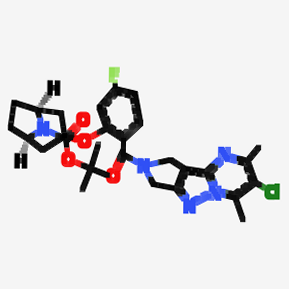 Cc1nc2c3c(nn2c(C)c1Cl)CN(C(=O)c1ccc(F)cc1O[C@H]1C[C@H]2CC[C@@H](C1)N2C(=O)OC(C)(C)C)C3